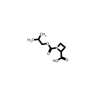 CC(C)COC(=O)N1CCC1C(=O)O